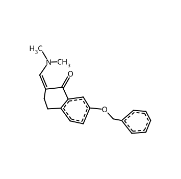 CN(C)C=C1CCc2ccc(OCc3ccccc3)cc2C1=O